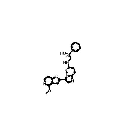 COc1nccc2oc(-c3cnc4ccc(NC[C@@H](O)c5ccccc5)nn34)cc12